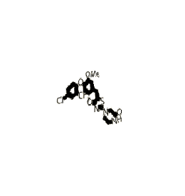 COc1cc(C=C2SC(N3CCNC(=O)C3)=NC2=O)ccc1Oc1ccc(Cl)cc1C(F)(F)F